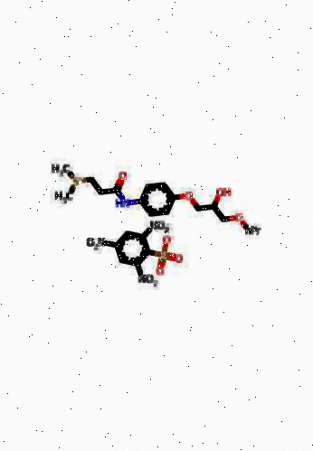 CCCOCC(O)COc1ccc(NC(=O)CC[S+](C)C)cc1.O=[N+]([O-])c1cc([N+](=O)[O-])c(S(=O)(=O)[O-])c([N+](=O)[O-])c1